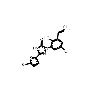 CC=Cc1cc(Cl)cc(-n2nc(-c3ccc(Br)s3)[nH]c2=O)c1O